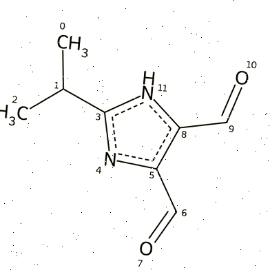 CC(C)c1nc(C=O)c(C=O)[nH]1